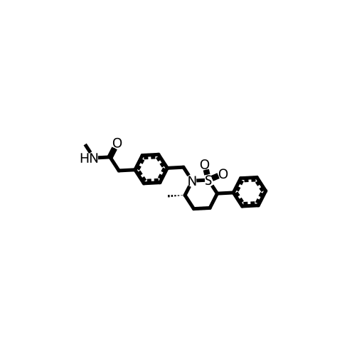 CNC(=O)Cc1ccc(CN2[C@@H](C)CCC(c3ccccc3)S2(=O)=O)cc1